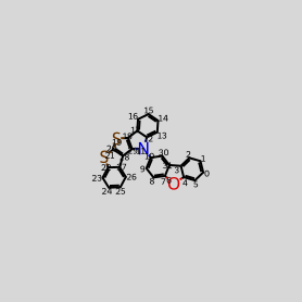 c1ccc2c(c1)oc1ccc(-n3c4ccccc4c4sc5sc6ccccc6c5c43)cc12